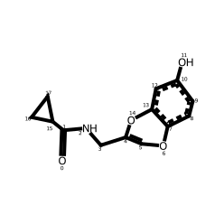 O=C(NCC1=COc2ccc(O)cc2O1)C1CC1